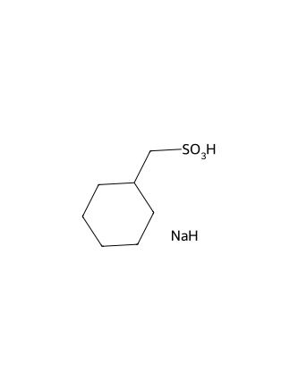 O=S(=O)(O)CC1CCCCC1.[NaH]